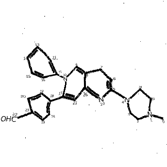 CN1CCN(C2=CCC3=CN(c4ccccc4)C(c4ccc(C=O)cc4)=CC3=N2)CC1